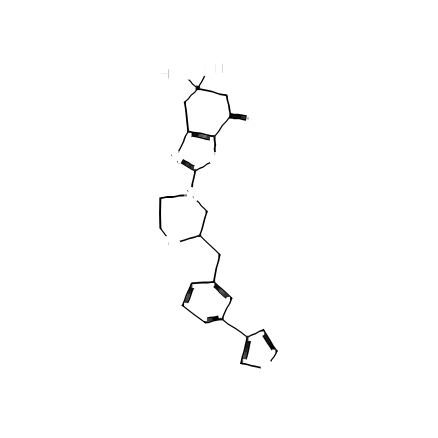 CC1(C)CC(=O)c2sc(N3CCOC(Cc4cccc(-c5ccsc5)c4)C3)nc2C1